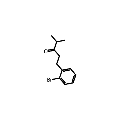 CC(C)C(=O)CCc1ccccc1Br